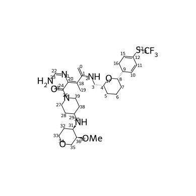 C=C(NC[C@H]1CCC[C@@H](C2C=CC(SC(F)(F)F)=CC2)O1)/C(C)=C(\N=C/N)C(=O)N1CCC(N[C@@H]2CCOC[C@@H]2OC)CC1